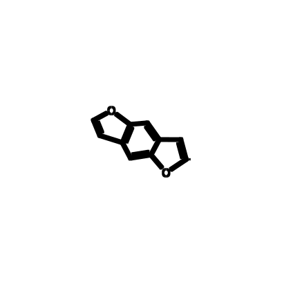 [c]1cc2cc3occc3cc2o1